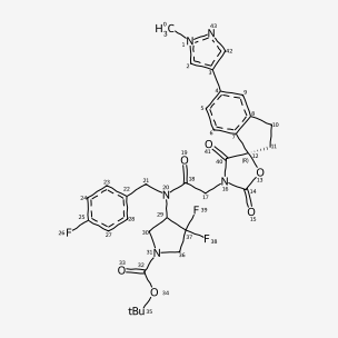 Cn1cc(-c2ccc3c(c2)CC[C@@]32OC(=O)N(CC(=O)N(Cc3ccc(F)cc3)C3CN(C(=O)OC(C)(C)C)CC3(F)F)C2=O)cn1